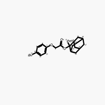 CCCC(C)C1(OC(=O)COc2ccc(C(C)CC)cc2)C2CC3CC(C2)CC1C3